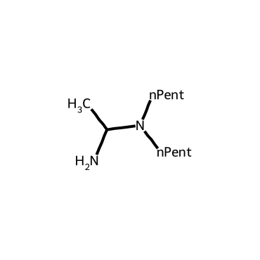 CCCCCN(CCCCC)C(C)N